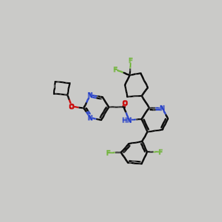 O=C(Nc1c(-c2cc(F)ccc2F)ccnc1C1CCC(F)(F)CC1)c1cnc(OC2CCC2)nc1